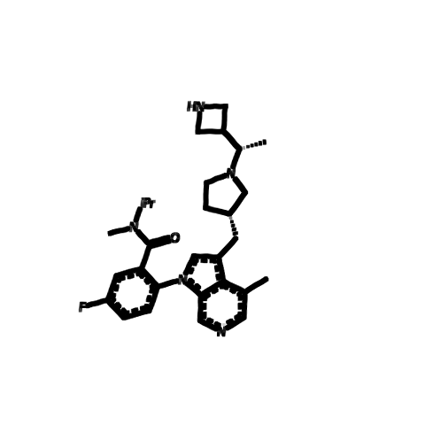 Cc1cncc2c1c(C[C@@H]1CCN([C@@H](C)C3CNC3)C1)cn2-c1ccc(F)cc1C(=O)N(C)C(C)C